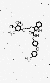 Cc1ccc(Oc2ccc(CNC(=O)c3[nH]c4ccccc4c3CCCOc3cc(C)c(Cl)c(C)c3)cc2)cc1